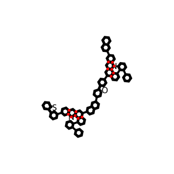 c1ccc(-c2ccccc2-c2c(-c3ccccc3)cccc2N(c2ccc(-c3ccc4ccccc4c3)cc2)c2ccc(-c3ccc4c(c3)oc3cc(-c5ccc6ccc(-c7ccc(N(c8cccc(-c9cccc%10c9sc9ccccc9%10)c8)c8cccc(-c9ccccc9)c8-c8ccccc8-c8ccccc8)cc7)cc6c5)ccc34)cc2)cc1